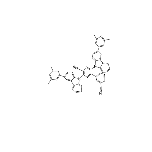 Cc1cc(C)cc(-c2ccc3c(c2)c2ccccc2n3-c2cc(-c3cccc(C#N)c3)c(-n3c4ccccc4c4cc(-c5cc(C)cc(C)c5)ccc43)cc2C#N)c1